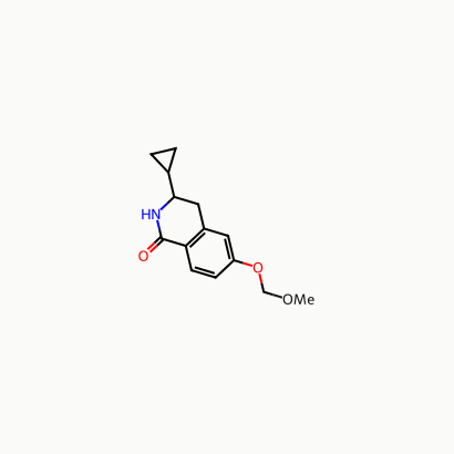 COCOc1ccc2c(c1)CC(C1CC1)NC2=O